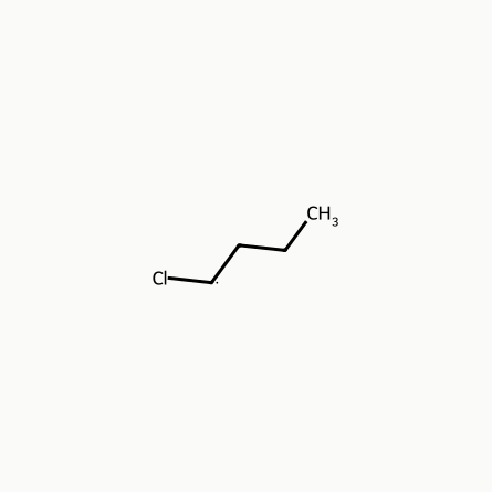 CCC[CH]Cl